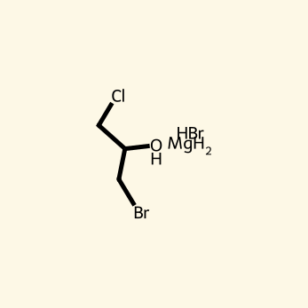 Br.OC(CCl)CBr.[MgH2]